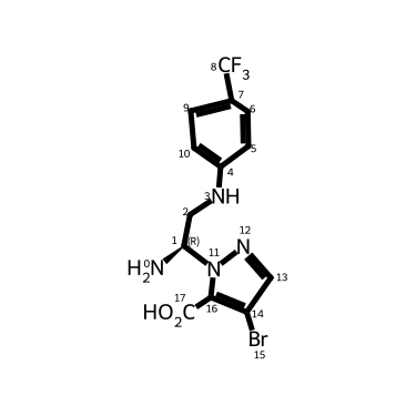 N[C@@H](CNc1ccc(C(F)(F)F)cc1)n1ncc(Br)c1C(=O)O